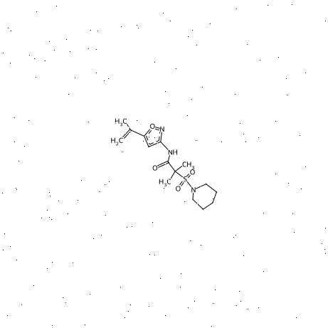 C=C(C)c1cc(NC(=O)C(C)(C)S(=O)(=O)N2CCCCC2)no1